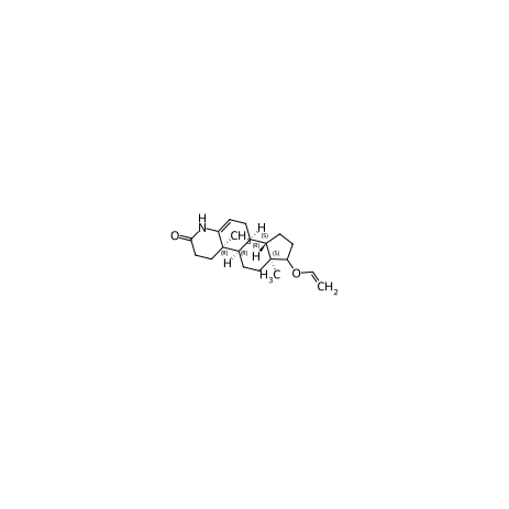 C=COC1CC[C@H]2[C@@H]3CC=C4NC(=O)CC[C@]4(C)[C@@H]3CC[C@]12C